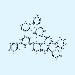 c1ccc(-c2cccc(-c3nc(-c4ccccc4)cc(-c4ccc5cc(-c6ccccc6)c6c(-c7ccccc7)nn(-c7ccccc7)c6c5c4)n3)c2)cc1